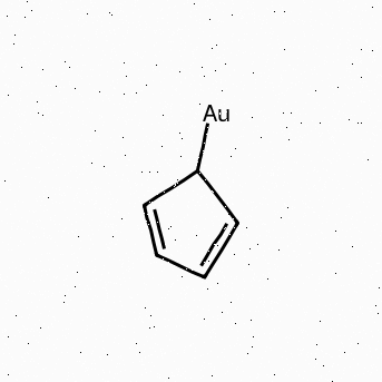 [Au][CH]1C=CC=C1